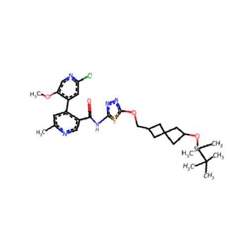 COc1cnc(Cl)cc1-c1cc(C)ncc1C(=O)Nc1nnc(OCC2CC3(C2)CC(O[Si](C)(C)C(C)(C)C)C3)s1